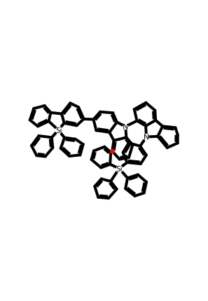 c1ccc([Si](c2ccccc2)(c2ccccc2)c2ccc(-n3c4ccccc4c4cccc(-n5c6ccccc6c6cc(-c7ccc8c(c7)[Si](c7ccccc7)(c7ccccc7)c7ccccc7-8)ccc65)c43)cc2)cc1